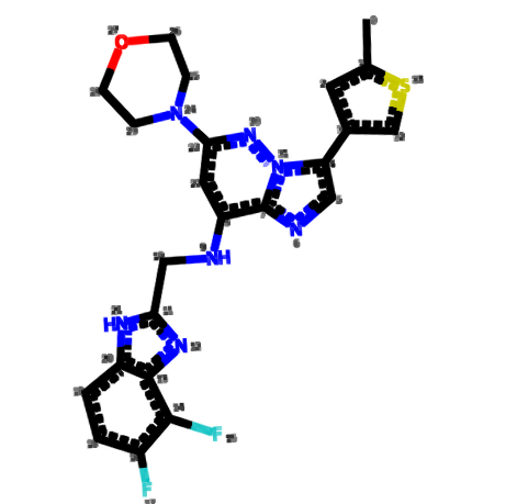 Cc1cc(-c2cnc3c(NCc4nc5c(F)c(F)ccc5[nH]4)cc(N4CCOCC4)nn23)cs1